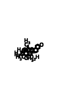 CC=CC1=C2C(CCC3(C(=O)O)C(C)C(C)(C)C(C)(C)C(C)(C)C23)C2CCC3CC(=O)CCC3C2C1